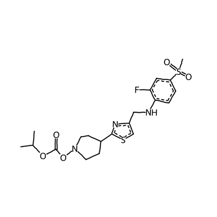 CC(C)OC(=O)ON1CCC(c2nc(CNc3ccc(S(C)(=O)=O)cc3F)cs2)CC1